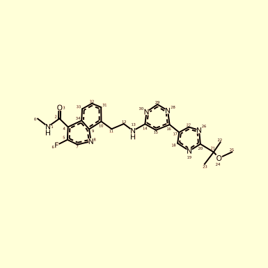 CNC(=O)c1c(F)cnc2c(CCNc3cc(-c4cnc(C(C)(C)OC)nc4)ncn3)cccc12